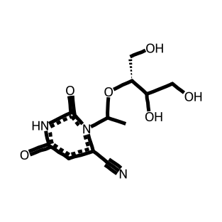 CC(O[C@H](CO)C(O)CO)n1c(C#N)cc(=O)[nH]c1=O